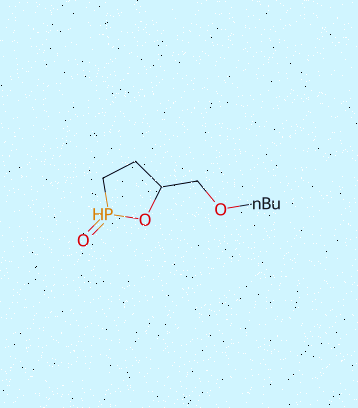 CCCCOCC1CC[PH](=O)O1